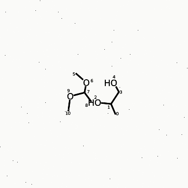 CC(O)CO.COC(C)OC